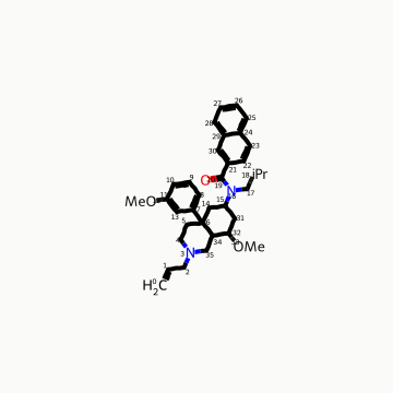 C=CCN1CCC2(c3cccc(OC)c3)CC(N(CC(C)C)C(=O)c3ccc4ccccc4c3)CC(OC)C2C1